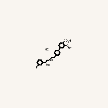 CC(C)Oc1cc(-c2ccc(CCNC[C@H](O)c3cccc(F)c3)cc2)ccc1C(=O)O.Cl